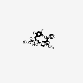 CC(C)(C)OC(=O)N[C@@H](CC(=O)N1CCn2c(C(F)(F)F)nc(C(=O)N3CCSC3)c2C1)Cc1cc(F)c(F)cc1F